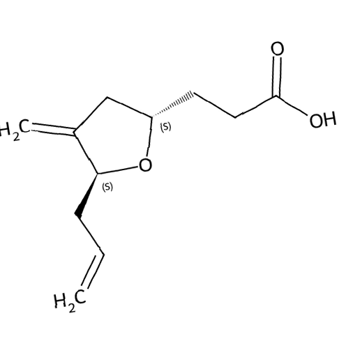 C=CC[C@@H]1O[C@@H](CCC(=O)O)CC1=C